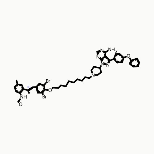 C/C(=C\c1cc(Br)c(OCCCCCCCCCCN2CCC(n3nc(-c4ccc(Oc5ccccc5)cc4)c4c(N)ncnc43)CC2)c(Br)c1)c1cc(C)ccc1NC=O